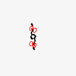 C=COC(=O)Cc1ccc(CC(=O)OC=C)cc1